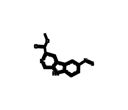 COC(=O)c1cc2c(cn1)[nH]c1ccc(N=S)cc12